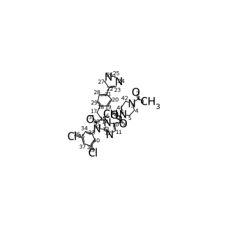 CC(=O)N1CCN(S(=O)(=O)c2cnc3n2[C@](C)(Cc2ccc(-c4cncnc4)cc2)C(=O)N3c2cc(Cl)cc(Cl)c2)CC1